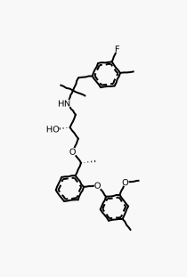 COc1cc(C)ccc1Oc1ccccc1[C@@H](C)OC[C@H](O)CNC(C)(C)Cc1ccc(C)c(F)c1